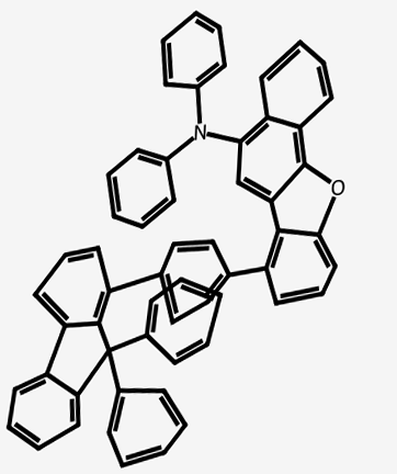 c1ccc(N(c2ccccc2)c2cc3c(oc4cccc(-c5ccc(-c6cccc7c6C(c6ccccc6)(c6ccccc6)c6ccccc6-7)cc5)c43)c3ccccc23)cc1